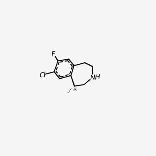 C[C@H]1CNCCc2cc(F)c(Cl)cc21